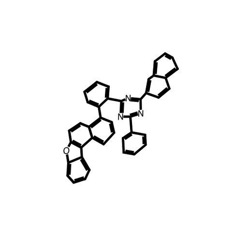 c1ccc(-c2nc(-c3ccc4ccccc4c3)nc(-c3ccccc3-c3cccc4c3ccc3oc5ccccc5c34)n2)cc1